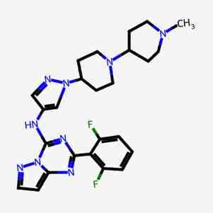 CN1CCC(N2CCC(n3cc(Nc4nc(-c5c(F)cccc5F)nc5ccnn45)cn3)CC2)CC1